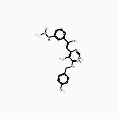 C=C(NCc1ccc(C)cc1)/C(C)=C(/C=C(\C)c1cccc(N[S+](C)[O-])c1)\N=C/N